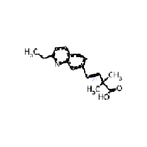 CCc1ccc2ccc(/C=C/C(C)(C)C(=O)O)cc2n1